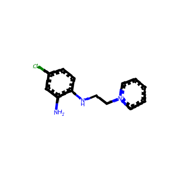 Nc1cc(Cl)ccc1NCC[n+]1ccccc1